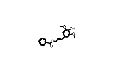 COc1cc(/C=C/COC(=O)c2ccccc2)cc(OC)c1O